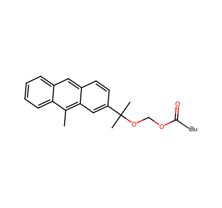 CCC(C)C(=O)OCOC(C)(C)c1ccc2cc3ccccc3c(C)c2c1